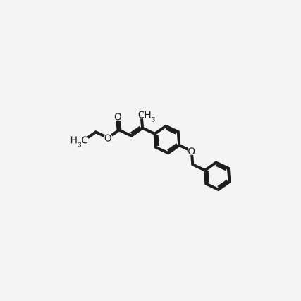 CCOC(=O)C=C(C)c1ccc(OCc2ccccc2)cc1